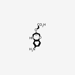 Nc1ccc2c(c1)NC[C@H](OCC(=O)O)CO2